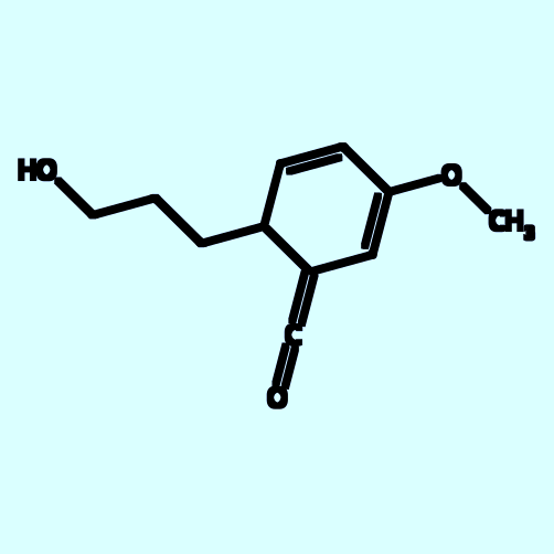 COC1=CC(=C=O)C(CCCO)C=C1